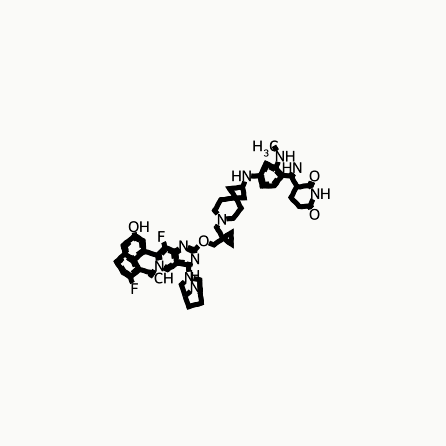 C#Cc1c(F)ccc2cc(O)cc(-c3ncc4c(N5CC6CCC(C5)N6)nc(OCC5(CN6CCC7(CC6)CC(Nc6ccc(C(=N)C8CCC(=O)NC8=O)c(NC)c6)C7)CC5)nc4c3F)c12